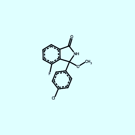 COC1(c2ccc(Cl)cc2)NC(=O)c2cccc(F)c21